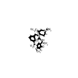 COc1cccc(CN(C(=O)N[C@H](C)c2ccc(OC)c(Cl)c2Cl)C2CCN(C)CC2C)c1